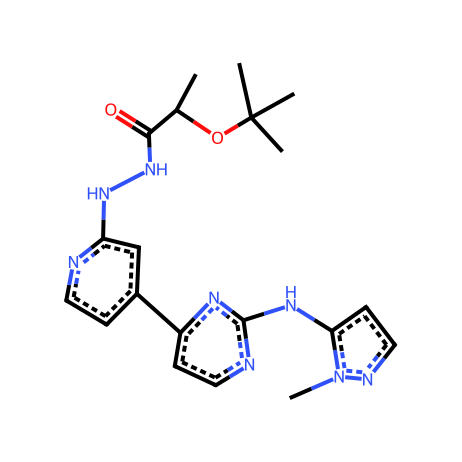 CC(OC(C)(C)C)C(=O)NNc1cc(-c2ccnc(Nc3ccnn3C)n2)ccn1